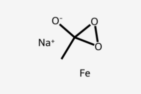 CC1([O-])OO1.[Fe].[Na+]